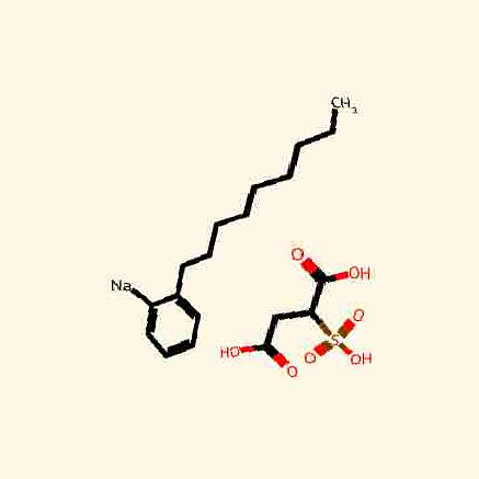 CCCCCCCCCc1cccc[c]1[Na].O=C(O)CC(C(=O)O)S(=O)(=O)O